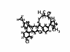 C[C@@H]1CCC[C@H](n2cnc(-c3c(-n4cc(C5CC5)nn4)ccc(Cl)c3F)cc2=O)c2cccc(c2)-c2c(cnn2C)NC1=O